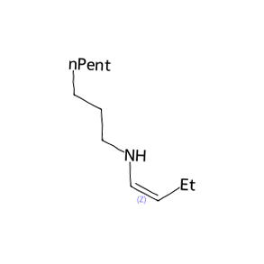 CC/C=C\NCCCCCCCC